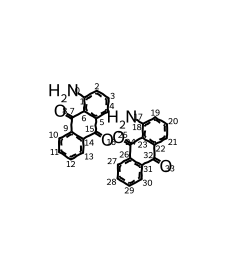 Nc1cccc2c1C(=O)c1ccccc1C2=O.Nc1cccc2c1C(=O)c1ccccc1C2=O